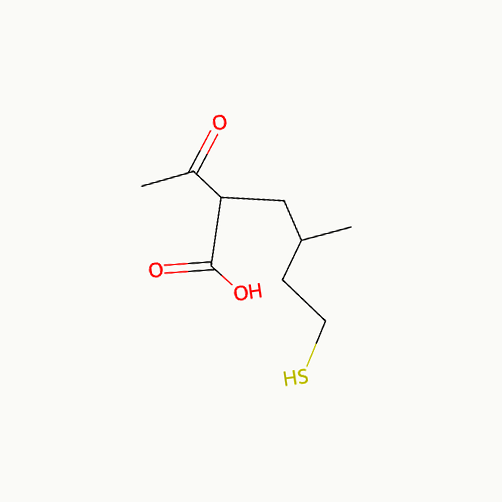 CC(=O)C(CC(C)CCS)C(=O)O